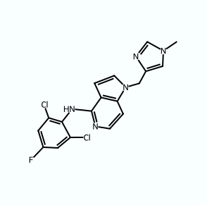 Cn1cnc(Cn2ccc3c(Nc4c(Cl)cc(F)cc4Cl)nccc32)c1